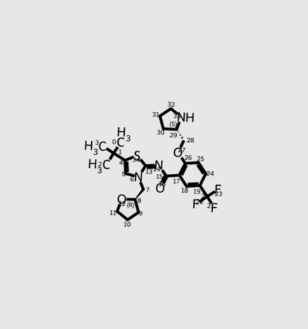 CC(C)(C)c1cn(C[C@H]2CCCO2)c(=NC(=O)c2cc(C(F)(F)F)ccc2OC[C@@H]2CCCN2)s1